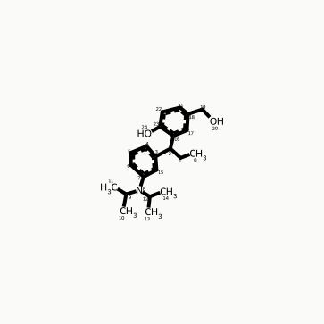 CCC(c1cccc(N(C(C)C)C(C)C)c1)c1cc(CO)ccc1O